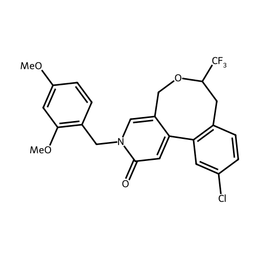 COc1ccc(Cn2cc3c(cc2=O)-c2cc(Cl)ccc2CC(C(F)(F)F)OC3)c(OC)c1